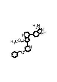 COCn1c(-c2cc(OCc3ccccc3)ccn2)cc2c(-c3ccc4[nH]nc(N)c4c3)ccnc21